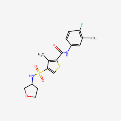 Cc1cc(NC(=O)c2scc(S(=O)(=O)N[C@H]3CCOC3)c2C)ccc1F